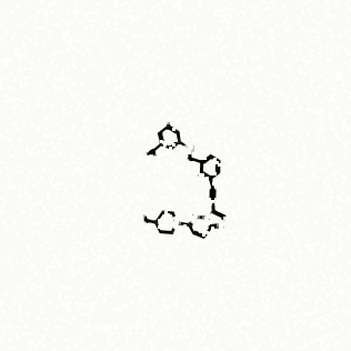 CC(=O)C1CCN(c2ccc3ncc(C#Cc4cccc(C(=O)Nc5cc(Cl)cc(C(F)(F)F)c5)c4C)n3n2)CC1